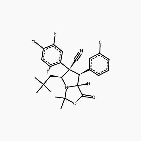 CC(C)(C)C[C@@H]1N2[C@@H](C(=O)OC2(C)C)[C@H](c2cccc(Cl)c2)[C@@]1(C#N)c1cc(F)c(Cl)cc1F